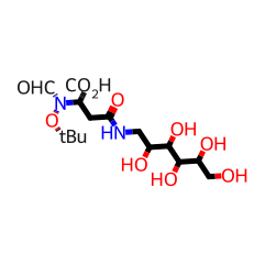 CC(C)(C)ON(C=O)C(CC(=O)NCC(O)C(O)C(O)C(O)CO)C(=O)O